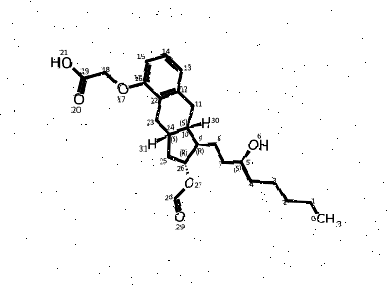 CCCCC[C@H](O)CC[C@@H]1[C@H]2Cc3cccc(OCC(=O)O)c3C[C@H]2C[C@H]1OC=O